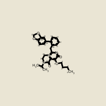 CCCCOc1c2n(c(Cc3ccccc3-c3ccc4c(c3)OCO4)nc1=O)CCN(C(C)C)C2=O